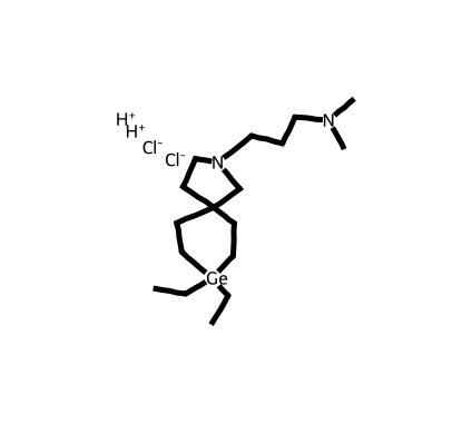 C[CH2][Ge]1([CH2]C)[CH2]CC2(CCN(CCCN(C)C)C2)C[CH2]1.[Cl-].[Cl-].[H+].[H+]